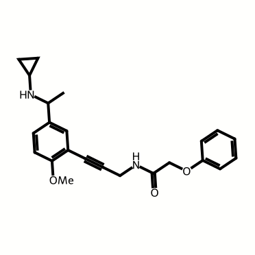 COc1ccc(C(C)NC2CC2)cc1C#CCNC(=O)COc1ccccc1